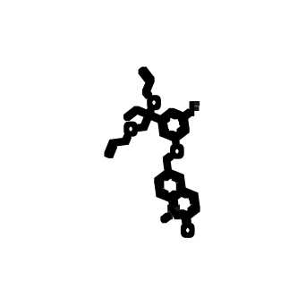 C=CCOCC(CC)(OCC=C)c1cc(F)cc(OCc2ccc3c(ccc(=O)n3C)c2)c1